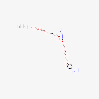 CCCCCCCOCCOCCOCCCCCC(=O)N(CCI)CCOCCOCCOCCOc1ccc(NI)cc1